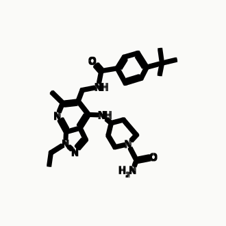 CCn1ncc2c(NC3CCN(C(N)=O)CC3)c(CNC(=O)c3ccc(C(C)(C)C)cc3)c(C)nc21